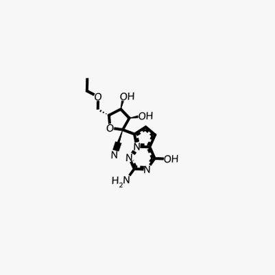 CCOC[C@H]1O[C@@](C#N)(c2ccc3c(O)nc(N)nn23)[C@H](O)[C@@H]1O